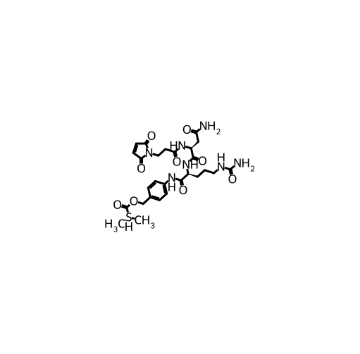 C[SH](C)C(=O)OCc1ccc(NC(=O)[C@H](CCCNC(N)=O)NC(=O)[C@H](CC(N)=O)NC(=O)CCN2C(=O)C=CC2=O)cc1